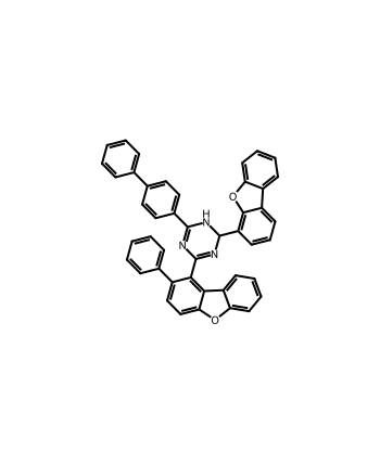 c1ccc(-c2ccc(C3=NC(c4c(-c5ccccc5)ccc5oc6ccccc6c45)=NC(c4cccc5c4oc4ccccc45)N3)cc2)cc1